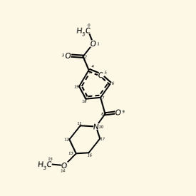 COC(=O)c1ccc(C(=O)N2CCC(OC)CC2)cc1